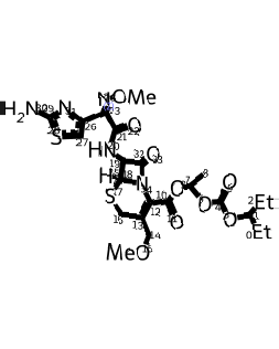 CCC(CC)OC(=O)OC(C)OC(=O)C1=C(COC)CS[C@@H]2C(NC(=O)/C(=N\OC)c3csc(N)n3)C(=O)N12